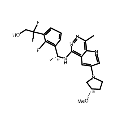 CO[C@H]1CCN(c2cnc3c(C)nnc(N[C@H](C)c4cccc(C(F)(F)CO)c4F)c3c2)C1